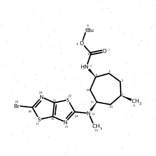 C[C@@H]1CC[C@H](NC(=O)OC(C)(C)C)C[C@H](N(C)c2nc3sc(Br)nc3s2)C1